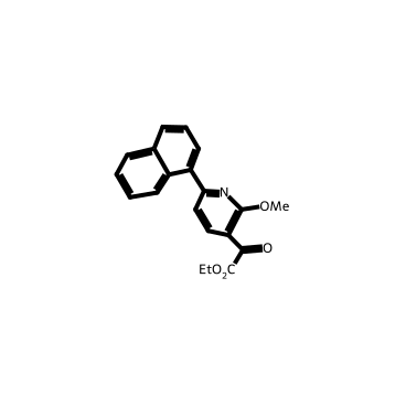 CCOC(=O)C(=O)c1ccc(-c2cccc3ccccc23)nc1OC